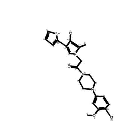 COc1cc(N2CCN(C(=O)Cn3cc(-c4cccs4)c(Cl)c3C)CC2)ccc1Cl